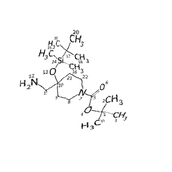 CC(C)(C)OC(=O)N1CCC(CN)(O[Si](C)(C)C(C)(C)C)CC1